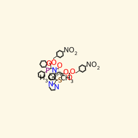 C[C@H](C(=S)c1ncccn1)[C@@H]1[C@@H]([C@@H](C)OC(=O)OCc2ccc([N+](=O)[O-])cc2)C(=O)N1C(C(=O)OCc1ccc([N+](=O)[O-])cc1)=P(c1ccccc1)(c1ccccc1)c1ccccc1